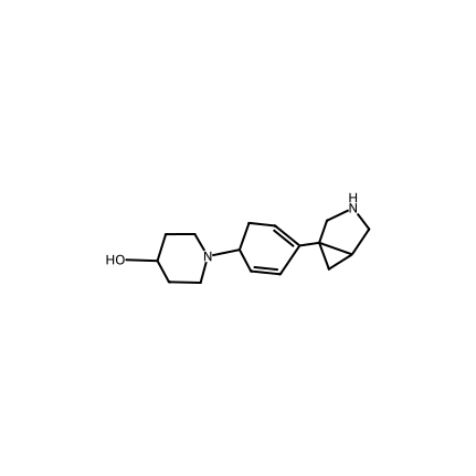 OC1CCN(C2C=CC(C34CNCC3C4)=CC2)CC1